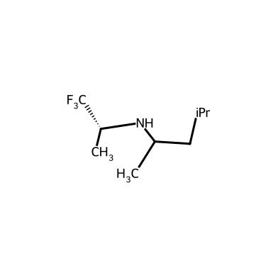 CC(C)CC(C)N[C@H](C)C(F)(F)F